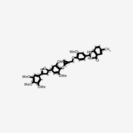 COc1cc(C2NC(=O)c3cc(C)ccc3N2)ccc1OCC1=C(Oc2c(OC)cc(C3CC(c4cc(OC)c(OC)c(OC)c4)=NO3)cc2OC)C1